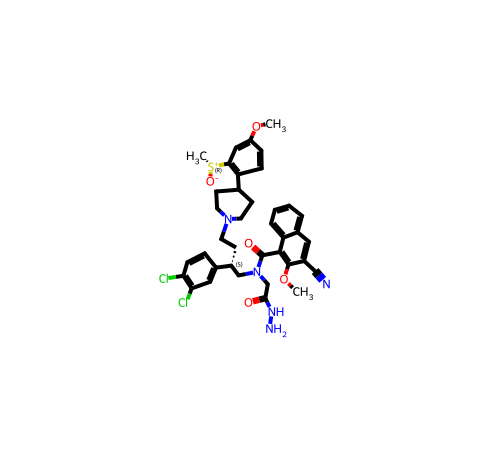 COc1ccc(C2CCN(CC[C@H](CN(CC(=O)NN)C(=O)c3c(OC)c(C#N)cc4ccccc34)c3ccc(Cl)c(Cl)c3)CC2)c([S@+](C)[O-])c1